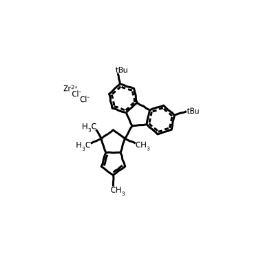 CC1=CC2C(=C1)C(C)(C)CC2(C)C1c2ccc(C(C)(C)C)cc2-c2cc(C(C)(C)C)ccc21.[Cl-].[Cl-].[Zr+2]